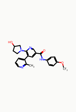 Cc1ncccc1-c1cc(C(=O)Nc2ccc(OC(F)(F)F)cc2)cnc1N1CCC(O)C1